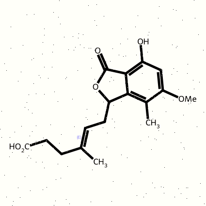 COc1cc(O)c2c(c1C)C(C/C=C(\C)CCC(=O)O)OC2=O